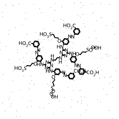 O=C(O)c1cccc(N=Nc2ccc(Nc3nc(NCCNc4nc(Nc5ccc(N=Nc6cccc(C(=O)O)c6)cc5OCCCSOOO)nc(Nc5ccc(N=Nc6cccc(C(=O)O)c6)cc5OCCCS(=O)(=O)O)n4)nc(Nc4ccc(N=Nc5cccc(C(=O)O)c5)cc4OCCCS(=O)(=O)O)n3)c(OCCCSOOO)c2)c1